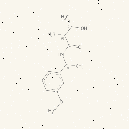 COc1cccc([C@@H](C)NC(=O)[C@H](N)[C@H](C)O)c1